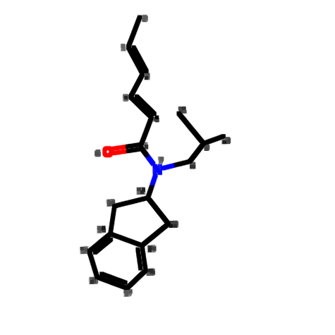 CC=CC=CC(=O)N(CC(C)C)C1Cc2ccccc2C1